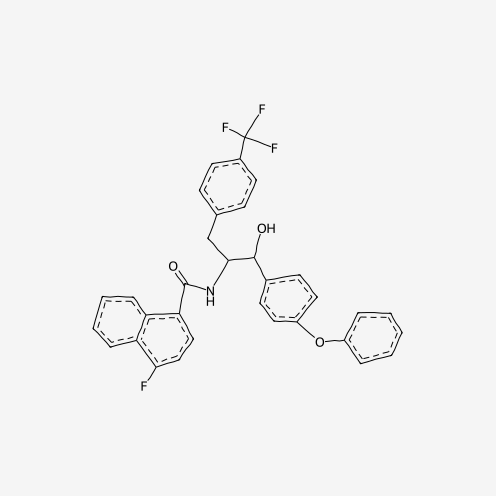 O=C(NC(Cc1ccc(C(F)(F)F)cc1)C(O)c1ccc(Oc2ccccc2)cc1)c1ccc(F)c2ccccc12